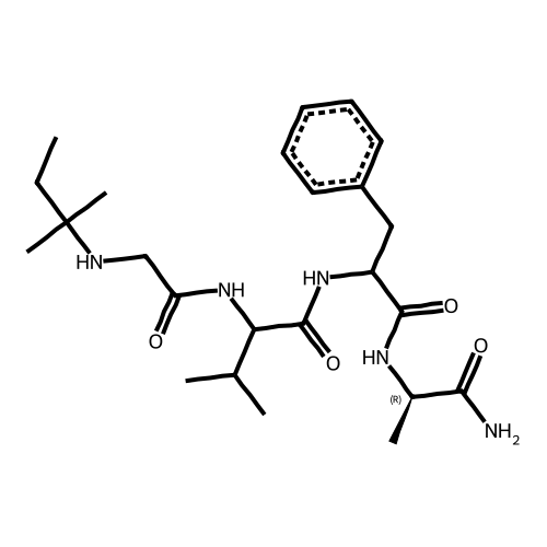 CCC(C)(C)NCC(=O)NC(C(=O)NC(Cc1ccccc1)C(=O)N[C@H](C)C(N)=O)C(C)C